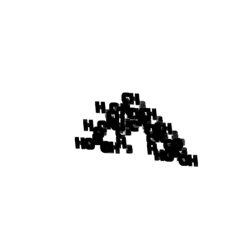 CN(C)C.CN(C)C.CN(C)C.CN(C)C.O=[Si](O)O.O=[Si](O)O